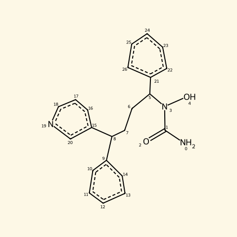 NC(=O)N(O)C(CCC(c1ccccc1)c1cccnc1)c1ccccc1